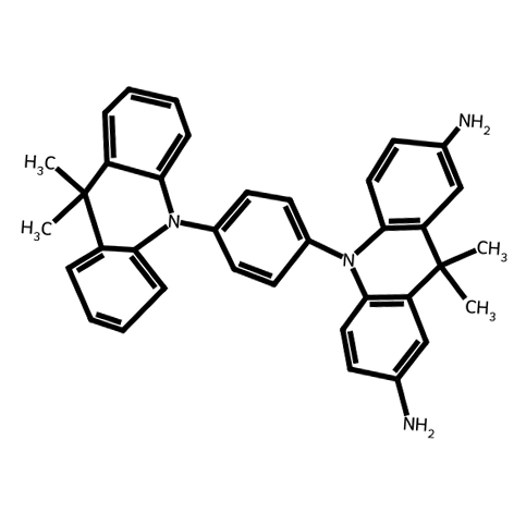 CC1(C)c2ccccc2N(c2ccc(N3c4ccc(N)cc4C(C)(C)c4cc(N)ccc43)cc2)c2ccccc21